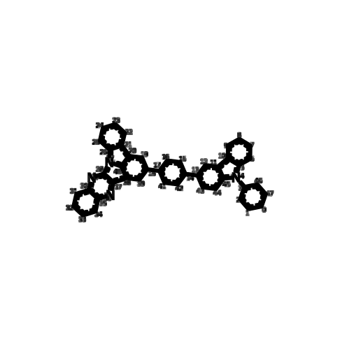 c1ccc(-n2c3ccccc3c3cc(-c4ccc(-c5cc6c7ccccc7n7c8nc9ccccc9nc8c(c5)c67)cc4)ccc32)cc1